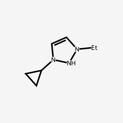 [CH2]CN1C=CN(C2CC2)N1